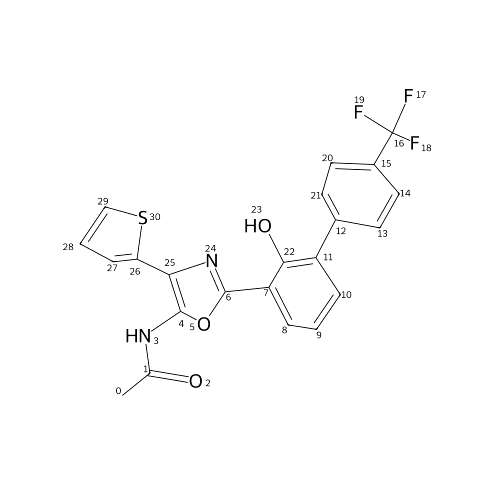 CC(=O)Nc1oc(-c2cccc(-c3ccc(C(F)(F)F)cc3)c2O)nc1-c1cccs1